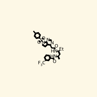 C=C(/C=C(/CC)NC(=O)Cc1ncnc2c1ccn2S(=O)(=O)c1ccc(C)cc1)NC(=O)c1cccc(C(F)(F)F)c1